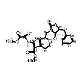 CC(C)(C)OC(=O)C(=O)Nc1sc2c(c1C(=O)OC(C)(C)C)CCOC2CN1C(=O)SC(Cc2ccccn2)C1=O